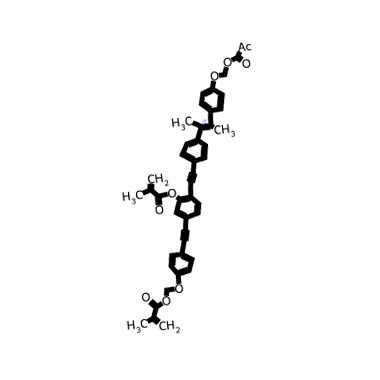 C=C(C)C(=O)OCOc1ccc(C#Cc2ccc(C#Cc3ccc(/C(C)=C(\C)c4ccc(OCOC(=O)C(C)=O)cc4)cc3)c(OC(=O)C(=C)C)c2)cc1